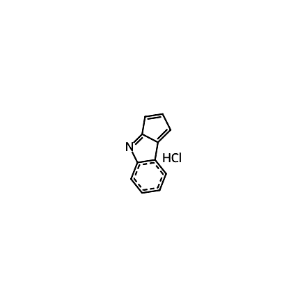 C1=CC2=Nc3ccccc3C2=C1.Cl